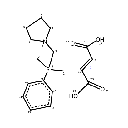 C[Si](C)(CN1CCCC1)c1ccccc1.O=C(O)/C=C/C(=O)O